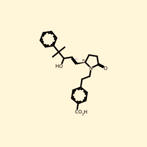 CC(C)(c1ccccc1)C(O)/C=C/[C@H]1CCC(=O)N1CCc1ccc(C(=O)O)cc1